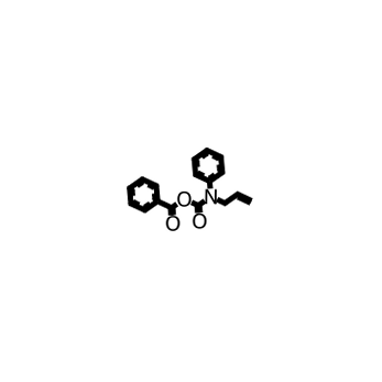 C=CCN(C(=O)OC(=O)c1ccccc1)c1ccccc1